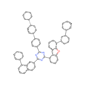 c1ccc(-c2ccc(-c3ccc(-c4nc(-c5ccc6cccc(-c7ccccc7)c6c5)nc(-c5cccc6oc7c(-c8cccc(-c9ccccc9)c8)cccc7c56)n4)cc3)cc2)cc1